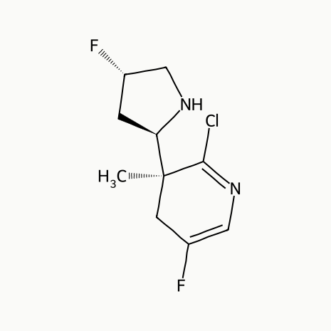 C[C@@]1([C@H]2C[C@H](F)CN2)CC(F)=CN=C1Cl